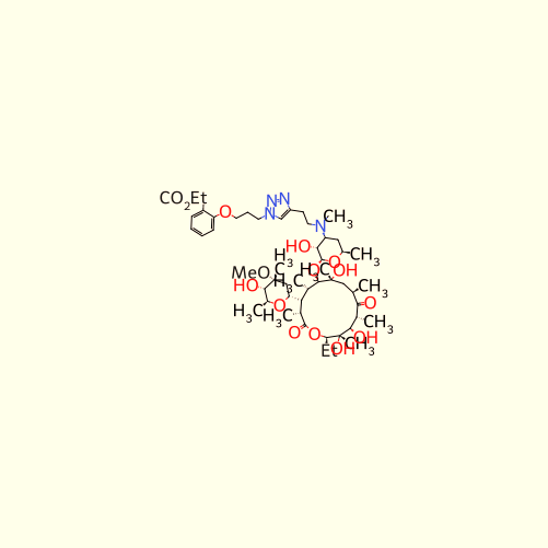 CCOC(=O)c1ccccc1OCCCn1cc(CCN(C)[C@H]2C[C@@H](C)O[C@@H](O[C@@H]3[C@@H](C)C([C@H]4C[C@@](C)(OC)[C@@H](O)[C@H](C)O4)[C@@H](C)C(=O)O[C@H](CC)[C@@](C)(O)[C@H](O)[C@@H](C)C(=O)[C@H](C)C[C@@]3(C)O)[C@@H]2O)nn1